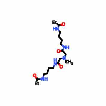 CCC(=O)NCCCCNC(=O)CN(C)CC(=O)NCCCCNC(=O)CC